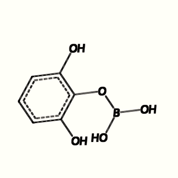 OB(O)Oc1c(O)cccc1O